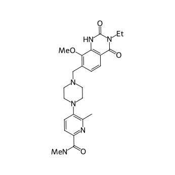 CCn1c(=O)[nH]c2c(OC)c(CN3CCN(c4ccc(C(=O)NC)nc4C)CC3)ccc2c1=O